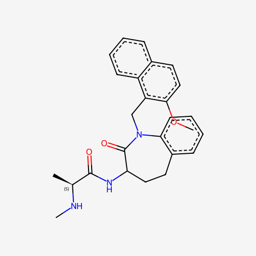 CN[C@@H](C)C(=O)NC1CCc2ccccc2N(Cc2c(OC)ccc3ccccc23)C1=O